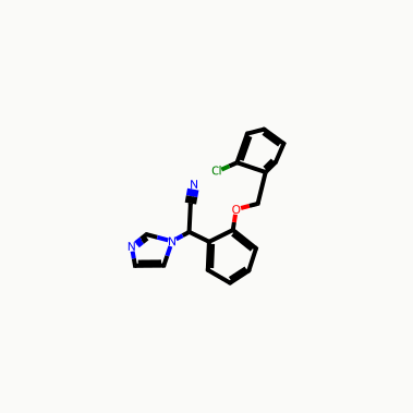 N#CC(c1ccccc1OCc1ccccc1Cl)n1ccnc1